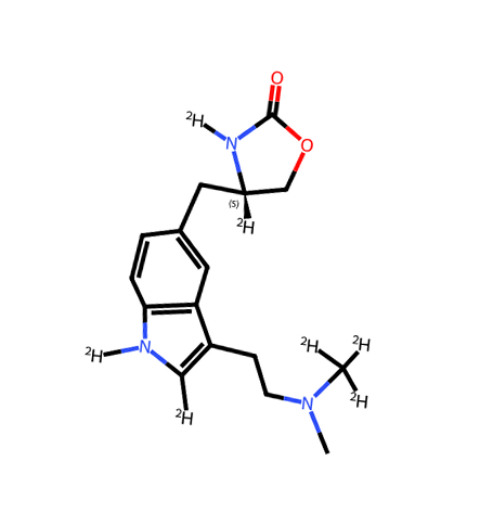 [2H]c1c(CCN(C)C([2H])([2H])[2H])c2cc(C[C@@]3([2H])COC(=O)N3[2H])ccc2n1[2H]